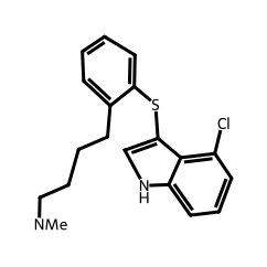 CNCCCCc1ccccc1Sc1c[nH]c2cccc(Cl)c12